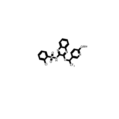 COc1ccc(C(Oc2nc3ccccc3nc2NS(=O)(=O)c2ccccc2Cl)C(F)(F)F)cn1